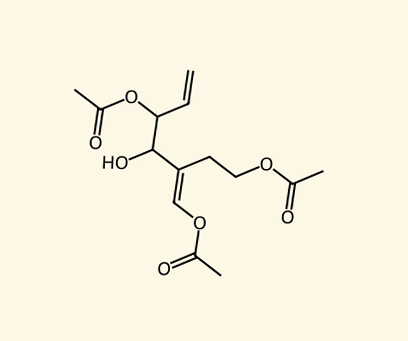 C=CC(OC(C)=O)C(O)C(=COC(C)=O)CCOC(C)=O